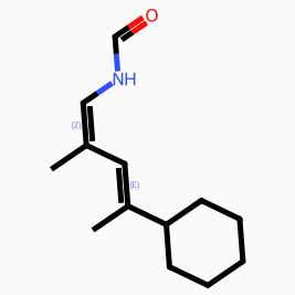 CC(=C/NC=O)/C=C(\C)C1CCCCC1